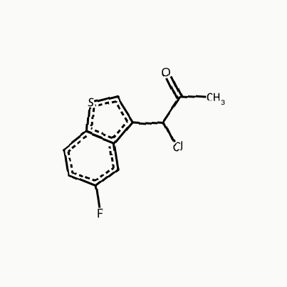 CC(=O)C(Cl)c1csc2ccc(F)cc12